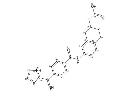 N=C(c1ccc(C(=O)Nc2ccc3c(c2)CC(CC(=O)O)CC3)cc1)c1ccc[nH]1